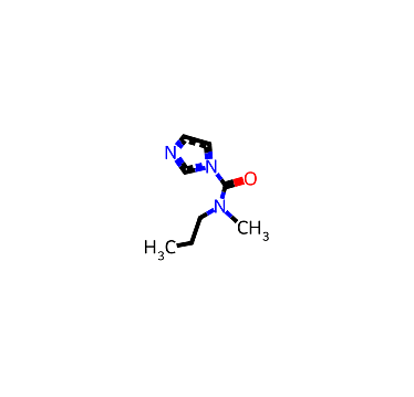 CCCN(C)C(=O)n1ccnc1